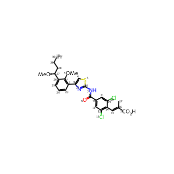 COc1c(-c2csc(NC(=O)c3cc(Cl)c(C=C(C)C(=O)O)c(Cl)c3)n2)cccc1C(CCC(C)C)OC